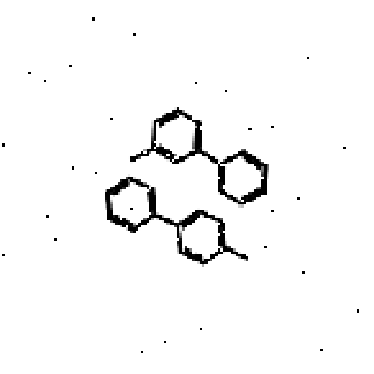 Cc1ccc(-c2ccccc2)cc1.Cc1cccc(-c2ccccc2)c1